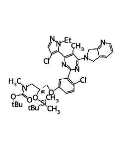 CCn1ncc(Cl)c1-c1nc(-c2cc(OC[C@@H](CN(C)C(=O)OC(C)(C)C)O[Si](C)(C)C(C)(C)C)ccc2Cl)nc(N2Cc3cccnc3C2)c1C